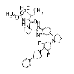 CCC(CC)C(NC(=O)OC)C(=O)N1CCC[C@H]1c1nc2cc([C@H]3CCCN3c3cc(F)c(N4CCC(c5ccccc5)CC4)c(F)c3)ccc2[nH]1